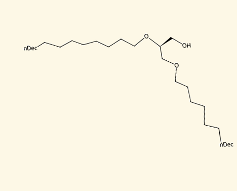 CCCCCCCCCCCCCCCCCCO[C@@H](CO)COCCCCCCCCCCCCCCCC